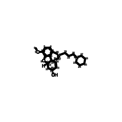 COc1ccc2c3c1O[C@H]1C[C@@H](O)C=C[C@]31CCN(CCCN1CCCCC1)C2